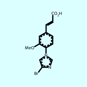 COc1cc(C=CC(=O)O)ccc1-n1cnc(Br)c1